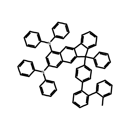 Cc1ccccc1-c1ccccc1-c1ccc(C2(c3ccccc3)c3ccccc3-c3cc4c(N(c5ccccc5)c5ccccc5)cc(N(c5ccccc5)c5ccccc5)cc4cc32)cc1